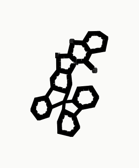 O=c1c2ccccc2oc2nc3cc4c(cc3n12)C1(c2ccccc2-c2ccccc21)c1ccccc1-4